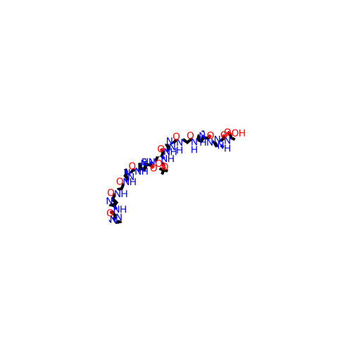 CC(NC(=O)c1nc(NC(=O)c2cc(NC(=O)CCNC(=O)c3nc(NC(=O)[C@@H](CCNC(=O)c4cc(NC(=O)c5nc(NC(=O)CCNC(=O)c6cc(NC(=O)c7nccn7C)cn6C)cn5C)cn4C)NC(=O)OC(C)(C)C)cn3C)cn2C)cn1C)C(=O)O